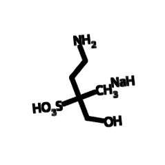 CC(CO)(CCN)S(=O)(=O)O.[NaH]